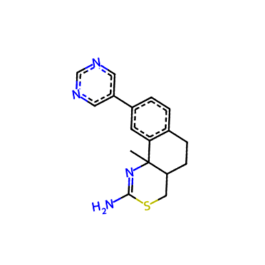 CC12N=C(N)SCC1CCc1ccc(-c3cncnc3)cc12